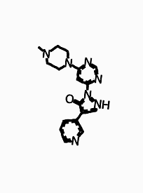 CN1CCN(c2cc(-n3[nH]cc(-c4cccnc4)c3=O)ncn2)CC1